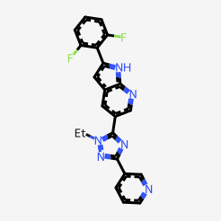 CCn1nc(-c2cccnc2)nc1-c1cnc2[nH]c(-c3c(F)cccc3F)cc2c1